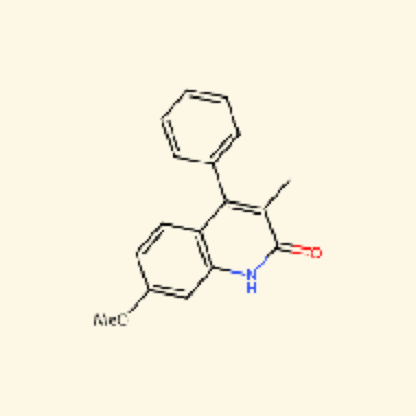 COc1ccc2c(-c3ccccc3)c(C)c(=O)[nH]c2c1